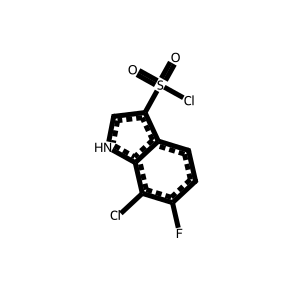 O=S(=O)(Cl)c1c[nH]c2c(Cl)c(F)ccc12